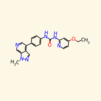 CCOc1ccnc(NC(=O)Nc2ccc(-c3cncc4c3cnn4C)cc2)c1